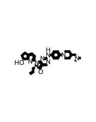 C=CCn1c(=O)c2cnc(Nc3ccc(N4CCC(CN(C)C)CC4)cc3)nc2n1-c1ccc2c(n1)C(O)CC2